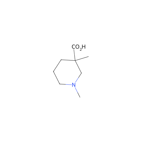 CN1CCCC(C)(C(=O)O)C1